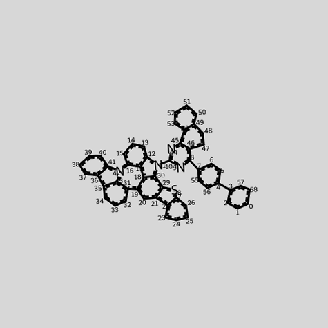 c1ccc(-c2ccc(-c3nc(-n4c5cccc6c5c5c(cc7c8ccccc8sc7c54)c4cccc5c7ccccc7n6c45)nc4c3ccc3ccccc34)cc2)cc1